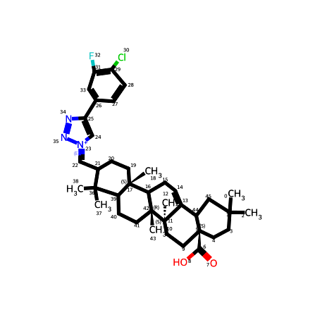 CC1(C)CC[C@]2(C(=O)O)CC[C@]3(C)C(=CCC4[C@@]5(C)CCC(/C=[N+]6\C=C(c7ccc(Cl)c(F)c7)N=N6)C(C)(C)C5CC[C@]43C)C2C1